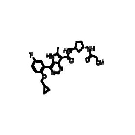 Cc1[nH]c2c(-c3cc(F)ccc3OCC3CC3)ncnc2c1C(=O)N[C@H]1CC[C@H](NC(=O)CO)C1